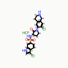 Cl.O=C1[C@@H](NS(=O)(=O)c2ccc3c(Cl)c[nH]c3c2)CCN1c1cc2c(cc1Cl)CNCC2